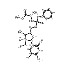 CC(C)OC(=O)[C@H](C)NP(=O)(OC[C@H]1O[C@@H](n2cc(F)c(N)nc2=O)[C@@](Cl)(CF)C1O)Oc1ccccc1